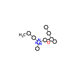 Cc1cccc(-c2ccc(-c3nc(-c4ccccc4)nc(-c4ccc5c(c4)oc4c6ccccc6cc(-c6ccc(-c7ccccc7)cc6)c54)n3)cc2)c1